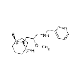 COC(CNCc1cccnc1)CN1[C@@H]2C[CH]C[C@H]1CC2